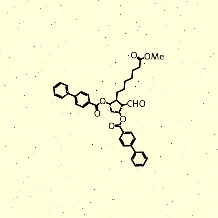 COC(=O)CCCCCCC1C(OC(=O)c2ccc(-c3ccccc3)cc2)CC(OC(=O)c2ccc(-c3ccccc3)cc2)C1C=O